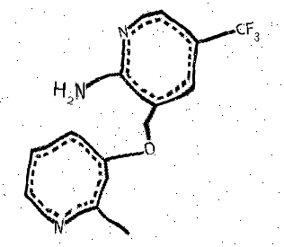 Cc1ncccc1Oc1cc(C(F)(F)F)cnc1N